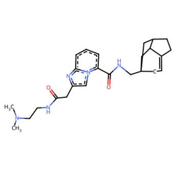 CN(C)CCNC(=O)Cc1cn2c(C(=O)NCC34CC=C5CCC(C3)C5C4)cccc2n1